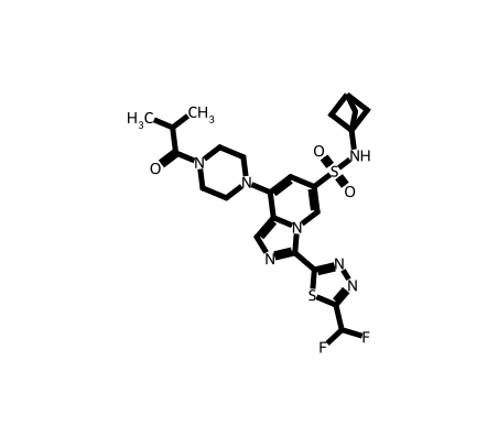 CC(C)C(=O)N1CCN(c2cc(S(=O)(=O)NC34CC(C3)C4)cn3c(-c4nnc(C(F)F)s4)ncc23)CC1